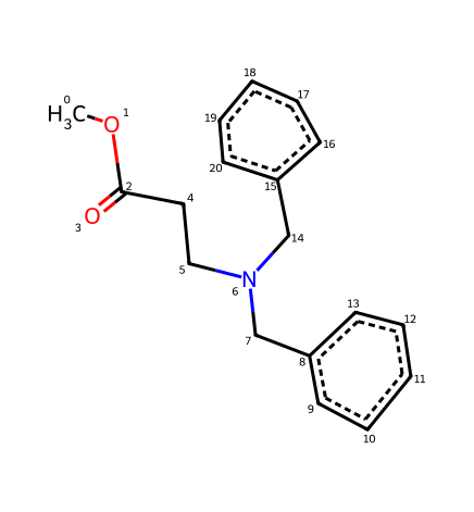 COC(=O)CCN(Cc1ccccc1)Cc1ccccc1